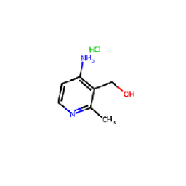 Cc1nccc(N)c1CO.Cl